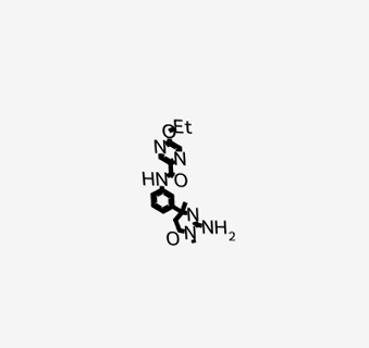 CCOc1cnc(C(=O)Nc2cccc(C3(C)CC(=O)N(C)C(N)=N3)c2)cn1